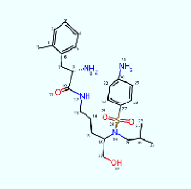 Cc1ccccc1C[C@H](N)C(=O)NCCCC(CO)N(CC(C)C)S(=O)(=O)c1ccc(N)cc1